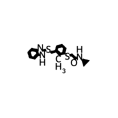 Cc1c(CSc2nc3ccccc3[nH]2)cccc1SCC(=O)NC1CC1